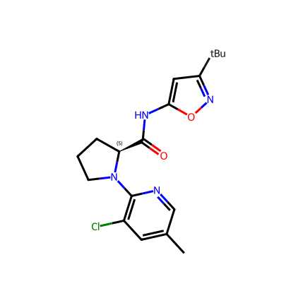 Cc1cnc(N2CCC[C@H]2C(=O)Nc2cc(C(C)(C)C)no2)c(Cl)c1